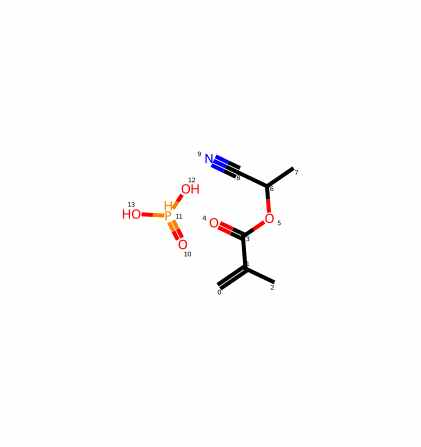 C=C(C)C(=O)OC(C)C#N.O=[PH](O)O